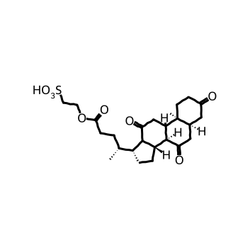 C[C@H](CCC(=O)OCCS(=O)(=O)O)[C@H]1CC[C@@H]2C1C(=O)C[C@H]1[C@H]2C(=O)C[C@@H]2CC(=O)CC[C@@]21C